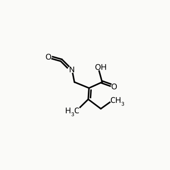 CCC(C)=C(CN=C=O)C(=O)O